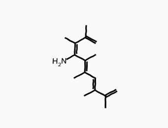 C=C(C)/C(C)=C/C(C)=C(C)/C(N)=C(/C)C(=C)C